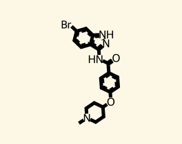 CN1CCC(Oc2ccc(C(=O)Nc3n[nH]c4cc(Br)ccc34)cc2)CC1